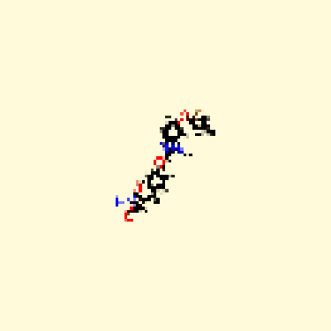 Cc1csc(Oc2ccc3nc(COc4ccc(CC5SC(=O)NC5=O)cc4)n(C)c3c2)c1